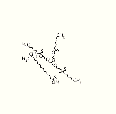 CC(C)CCCCCCCCCCCCC(O)=S.CCCCCCC(=S)OCCOCC(COCCOC(=S)CCCCCC)OCCOC(=S)CCCCCC